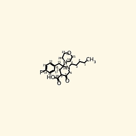 CCCCCN1CC(=O)C(C(=O)O)CC1(Cc1ccc(F)cc1)N1CCOCC1